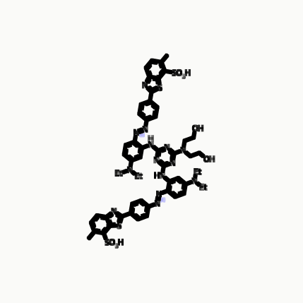 CCN(CC)c1ccc(/N=N/c2ccc(-c3nc4ccc(C)c(S(=O)(=O)O)c4s3)cc2)c(Nc2nc(Nc3cc(N(CC)CC)ccc3/N=N/c3ccc(-c4nc5ccc(C)c(S(=O)(=O)O)c5s4)cc3)nc(N(CCO)CCO)n2)c1